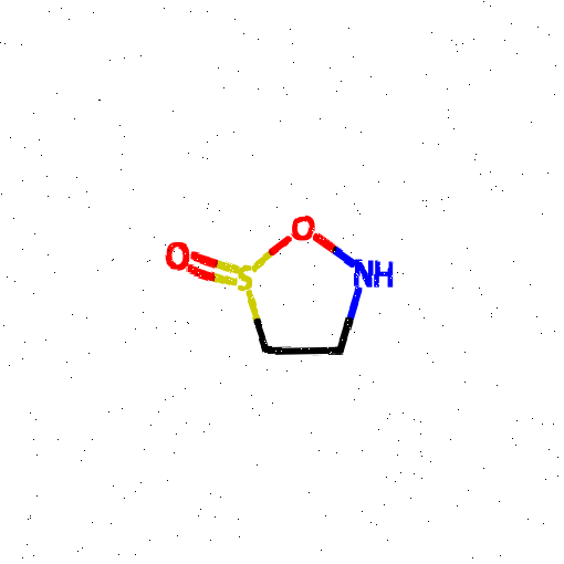 O=S1CCNO1